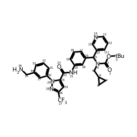 CC(C)(C)OC(=O)N(CC1CC1)C(c1cccnc1)c1cccc(NC(=O)c2cc(C(F)(F)F)nn2-c2cccc(CN)c2)c1